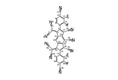 N#CC(C#N)=C1C(c2ccc(C#N)c(F)c2F)=C(C#N)c2c1cc1c(c2C#N)C(C#N)=C(c2ccc(C#N)c(F)c2F)C1=C(C#N)C#N